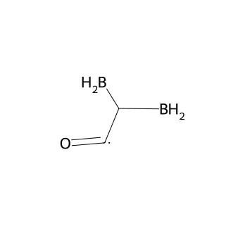 BC(B)[C]=O